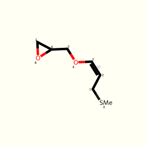 CSC/C=C\OCC1CO1